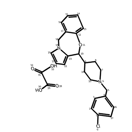 Clc1ccc(CN2CCC(C3Oc4ccccc4Cn4cccc43)CC2)cc1.O=C(O)C(=O)O